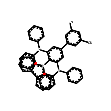 N#Cc1cc(C#N)cc(-c2cc(N(c3ccccc3)c3ccccc3)c(-n3c4ccccc4c4ccccc43)c(N(c3ccccc3)c3ccccc3)c2)c1